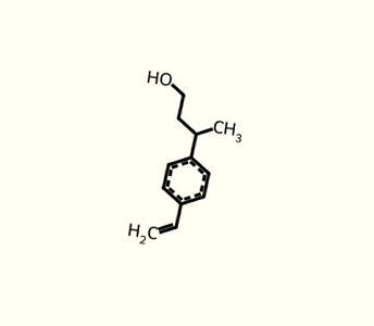 C=Cc1ccc(C(C)CCO)cc1